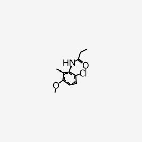 CCC(=O)Nc1c(Cl)ccc(OC)c1C